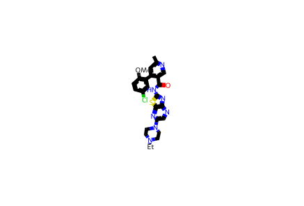 CCN1CCN(c2cnc3nc(NC(=O)c4cnc(C)cc4-c4cc(Cl)ccc4OC)sc3n2)CC1